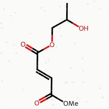 COC(=O)C=CC(=O)OCC(C)O